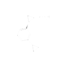 O=C(O)[C@H]1C[C@@H]1c1cccc(C2CC2)c1